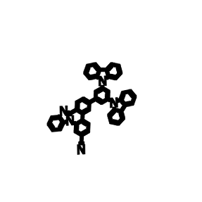 N#Cc1ccc2c3cc(-c4cc(-n5c6ccccc6c6ccccc65)cc(-n5c6ccccc6c6ccccc65)c4)ccc3c3nc4ccccc4n3c2c1